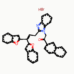 Br.O=C(Cn1c(CC=C(c2cc3ccccc3o2)c2cc3ccccc3o2)nc2ccccc21)c1ccc2ccccc2c1